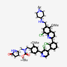 COc1cc(-c2nccc(-c3cccc(-c4ccc5c(OC)c(CNC6CCN(C(C)=O)CC6)cc(Cl)c5n4)c3Cl)c2Cl)ccc1CN(C[C@@H]1CCC(=O)N1)C(=O)OC(C)(C)C